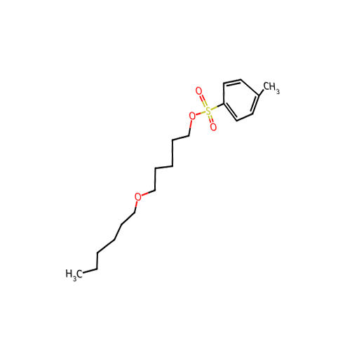 CCCCCCOCCCCCOS(=O)(=O)c1ccc(C)cc1